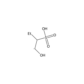 [CH2]CC([CH]O)S(=O)(=O)O